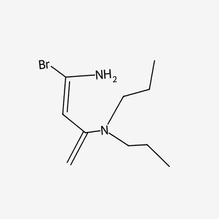 C=C(/C=C(\N)Br)N(CCC)CCC